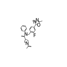 C=C(C)N1CC(C(=C)N(Cc2ccc(C3OC(C)=NN3C)cc2F)c2ccccc2)C1